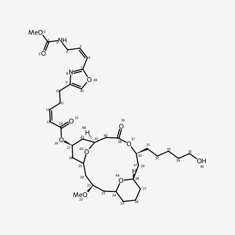 COC(=O)NC/C=C\c1nc(CC/C=C\C(=O)O[C@@H]2CC3C[C@H](OC)CC4CCC[C@@H](C[C@H](CCCCCO)OC(=O)C[C@H](C2)O3)O4)co1